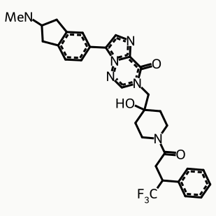 CNC1Cc2ccc(-c3cnc4c(=O)n(CC5(O)CCN(C(=O)CC(c6ccccc6)C(F)(F)F)CC5)cnn34)cc2C1